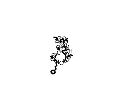 CCC(=O)O[C@@H]1CC(=O)O[C@H](C)CCN(CCCCc2ccccc2)N(C)C[C@H](OC(C)=O)[C@H](C)C[C@H](CC=O)[C@H]([C@@H]2O[C@H](C)[C@@H](O[C@@H]3C[C@@](C)(OC(C)=O)[C@@H](OC(=O)CC)[C@H](C)O3)[C@H](N(C)C)[C@H]2O)[C@@H]1OC